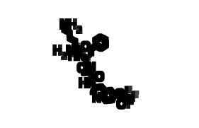 NCCCC[C@@H](N)C(=O)N[C@H](CCc1ccccc1)c1nc(C(=O)Nc2cnc3ccc(OC(=O)C(F)(F)F)cc3c2)co1